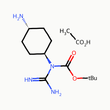 CC(=O)O.CC(C)(C)OC(=O)N(C(=N)N)[C@H]1CC[C@H](N)CC1